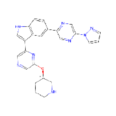 c1cnn(-c2cnc(-c3ccc4[nH]cc(-c5cncc(O[C@@H]6CCCNC6)n5)c4c3)cn2)c1